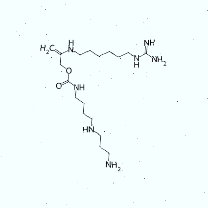 C=C(COC(=O)NCCCCNCCCN)NCCCCCCNC(=N)N